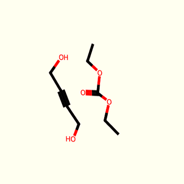 CCOC(=O)OCC.OCC#CCO